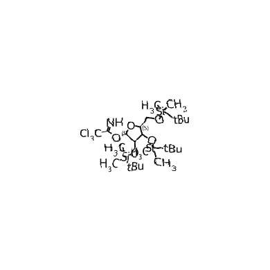 CC(C)(C)[Si](C)(C)OC[C@@H]1O[C@@H](OC(=N)C(Cl)(Cl)Cl)C(O[Si](C)(C)C(C)(C)C)C1O[Si](C)(C)C(C)(C)C